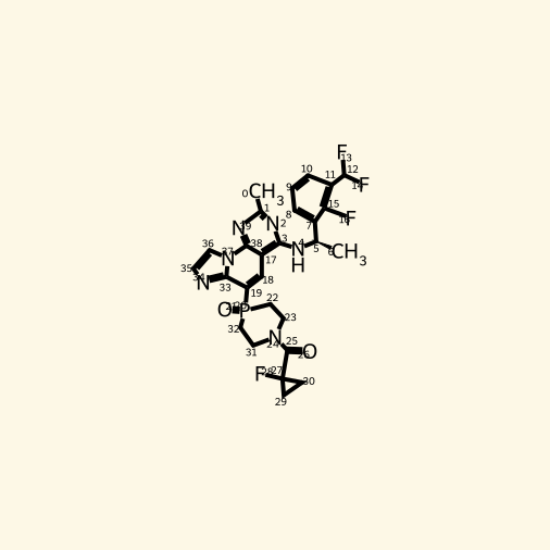 Cc1nc(N[C@H](C)c2cccc(C(F)F)c2F)c2cc(P3(=O)CCN(C(=O)C4(F)CC4)CC3)c3nccn3c2n1